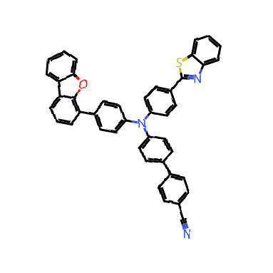 N#Cc1ccc(-c2ccc(N(c3ccc(-c4nc5ccccc5s4)cc3)c3ccc(-c4cccc5c4oc4ccccc45)cc3)cc2)cc1